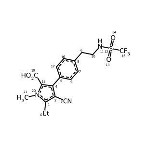 CCc1c(C#N)c(-c2ccc(CCNS(=O)(=O)C(F)(F)F)cc2)c(C(=O)O)n1C